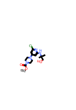 CC(C)(CO)Nc1cc(N2CCN(C(=O)OC(C)(C)C)CC2)cc(Cl)n1